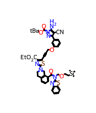 CCOC(=O)c1nc(N2CCc3cccc(C(=O)N(COCC[Si](C)(C)C)c4nc5ccccc5s4)c3C2)sc1C#CCOc1cccc(-c2nn(C(=O)OC(C)(C)C)c(N)c2C#N)c1